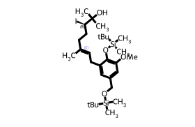 COc1cc(CO[Si](C)(C)C(C)(C)C)cc(C/C=C(\C)CC[C@@H](I)C(C)(C)O)c1O[Si](C)(C)C(C)(C)C